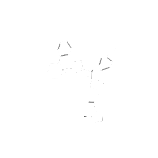 CC[C@@H]1CCCN1C(=O)CN1C[C@@H](c2ccc(OC)cc2)[C@](F)(C(=O)N2CC3[C@H](C2)c2ccc(C(F)(F)F)cc2N2CCC(C(=O)O)C[C@@H]32)C1